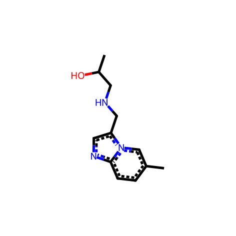 Cc1ccc2ncc(CNCC(C)O)n2c1